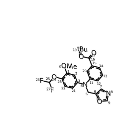 COc1cc(N(Cc2cnco2)c2cccc(C(=O)OC(C)(C)C)c2)ccc1OC(F)F